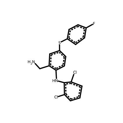 NCc1cc(Sc2ccc(F)cc2)ccc1Nc1c(Cl)cccc1Cl